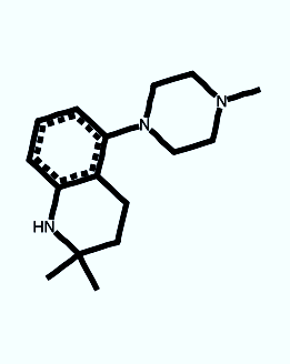 CN1CCN(c2cccc3c2CCC(C)(C)N3)CC1